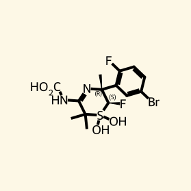 CC1(C)C(NC(=O)O)=N[C@](C)(c2cc(Br)ccc2F)[C@@H](F)S1(O)O